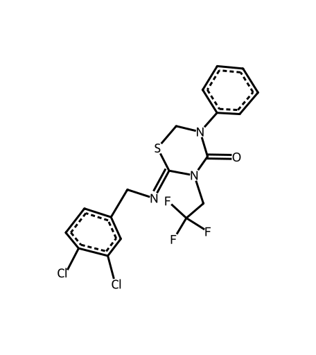 O=C1N(CC(F)(F)F)C(=NCc2ccc(Cl)c(Cl)c2)SCN1c1ccccc1